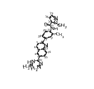 Cc1cc(-c2ccc3cc(/C(=N/N)NN)ccc3n2)ccc1NC(=O)c1ccnn1C